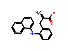 C=C(Cc1ccccc1Nc1cccc2ccccc12)C(=O)O